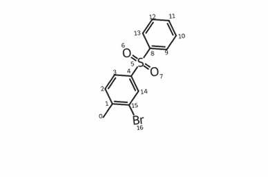 Cc1ccc(S(=O)(=O)c2ccccc2)cc1Br